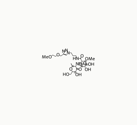 COCCOCc1cn(CCCNC(=O)C2O[C@@H](O[C@@H]3C(NC(C)=O)[C@H](C)OC(CO)[C@H]3O)C(O)[C@@H](O)[C@@H]2OC)nn1